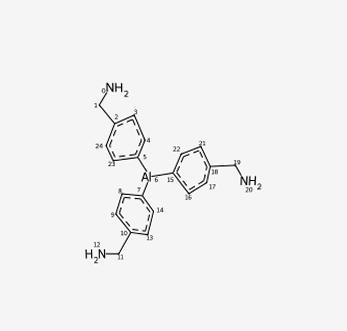 NCc1cc[c]([Al]([c]2ccc(CN)cc2)[c]2ccc(CN)cc2)cc1